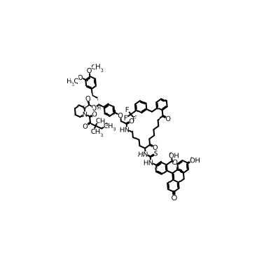 CCC(C)(C)C(=O)C(=O)N1CCCC[C@H]1C(=O)O[C@H](CCc1ccc(OC)c(OC)c1)c1ccc(OCC(=O)NCCCCC(NC(=S)Nc2ccc(C3=C4C=CC(=O)C=C4Cc4cc(O)ccc43)c(C(=O)O)c2)C(=O)CCCCCC(=O)c2ccccc2Cc2cccc(C(F)(F)F)c2)cc1